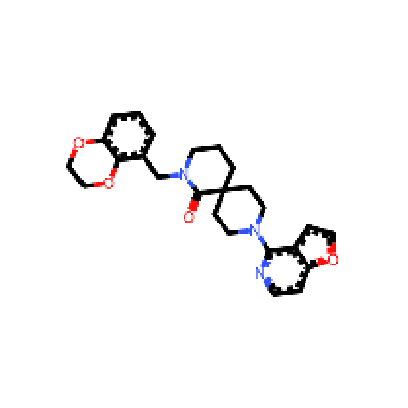 O=C1N(Cc2cccc3c2OCCO3)CCCC12CCN(c1nccc3occc13)CC2